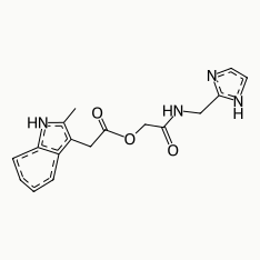 Cc1[nH]c2ccccc2c1CC(=O)OCC(=O)NCc1ncc[nH]1